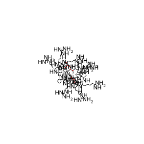 CC(=O)N[C@@H](C)C(=O)NCC(=O)N[C@H](CCCNC(=N)N)C(=O)N[C@H](CCCNC(=N)N)C(=O)N[C@H](CCCNC(=N)N)C(=O)N[C@H](CCCNC(=N)N)C(=O)N[C@H](CCCNC(=N)N)C(=O)N[C@H](CCCNC(=N)N)C(=O)N[C@H](CCCNC(=N)N)C(=O)N[C@H](CCCCC(=N)N)C(=O)N[C@H](CCCNC(=N)N)C(=O)N[C@H](CS)C(N)=O